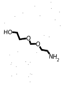 NCCOCOCCO